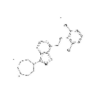 Clc1cccc(Cl)c1OCc1cccn2c(N3CCCCCC3)nnc12